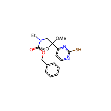 CCN(CC(OC)(OC)c1ccnc(S)n1)C(=O)OCc1ccccc1